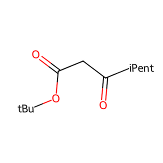 CCCC(C)C(=O)CC(=O)OC(C)(C)C